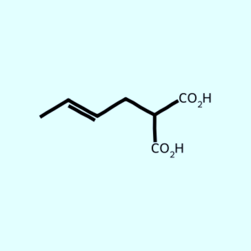 C/C=C/CC(C(=O)O)C(=O)O